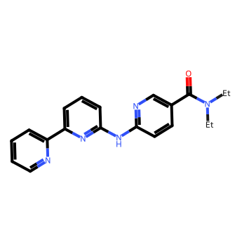 CCN(CC)C(=O)c1ccc(Nc2cccc(-c3ccccn3)n2)nc1